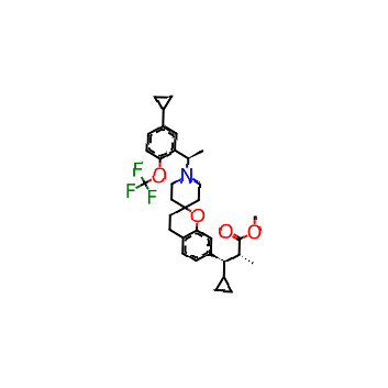 COC(=O)[C@H](C)[C@H](c1ccc2c(c1)OC1(CC2)CCN([C@H](C)c2cc(C3CC3)ccc2OC(F)(F)F)CC1)C1CC1